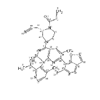 C=CC(=O)N1CCN(c2nc(=O)n(-c3c(C)ccnc3C(C)C)c3nc(-c4c(F)ccc5ccoc45)c(Cl)cc23)C[C@@H]1CC#N